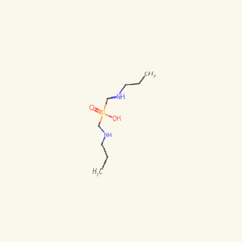 CCCNCP(=O)(O)CNCCC